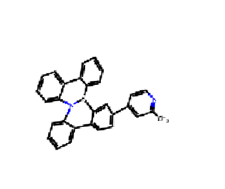 Cc1cc(-c2ccc3c(c2)B2c4ccccc4-c4ccccc4N2c2ccccc2-3)ccn1